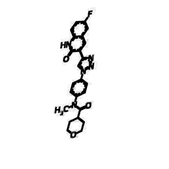 CN(C(=O)C1CCOCC1)c1ccc(-n2cc(-c3cc4cc(F)ccc4[nH]c3=O)nn2)cc1